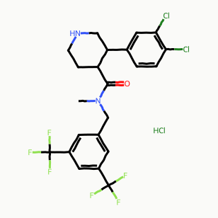 CN(Cc1cc(C(F)(F)F)cc(C(F)(F)F)c1)C(=O)C1CCNCC1c1ccc(Cl)c(Cl)c1.Cl